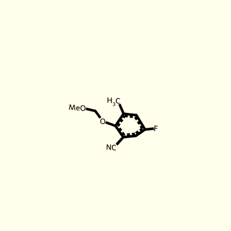 COCOc1c(C)cc(F)cc1C#N